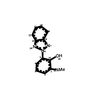 CNc1cccc(-n2nc3ccccc3n2)c1O